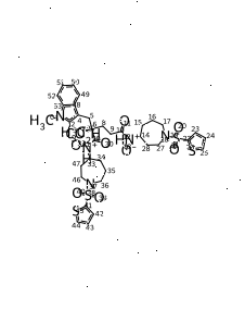 Cn1c(C(=O)O)c(C[C@](C)(CCC(=O)[NH+]([O-])C2CCCN(S(=O)(=O)c3cccs3)CC2)C(=O)[NH+]([O-])C2CCCN(S(=O)(=O)c3cccs3)CC2)c2ccccc21